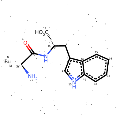 CC[C@H](C)[C@H](N)C(=O)N[C@@H](Cc1c[nH]c2ccccc12)C(=O)O